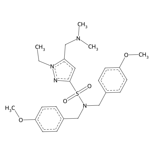 CCn1nc(S(=O)(=O)N(Cc2ccc(OC)cc2)Cc2ccc(OC)cc2)cc1CN(C)C